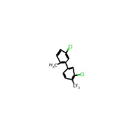 Cc1ccc(Cl)cc1-c1ccc(C(F)(F)F)c(Cl)c1